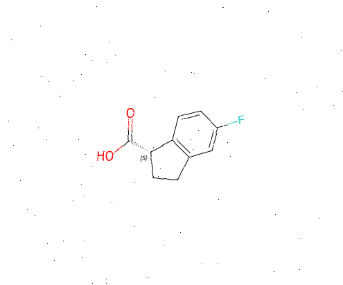 O=C(O)[C@H]1CCc2cc(F)ccc21